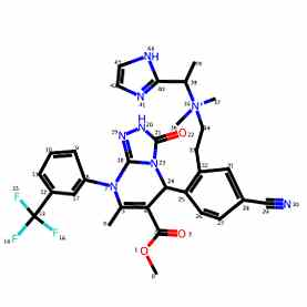 COC(=O)C1=C(C)N(c2cccc(C(F)(F)F)c2)c2n[nH]c(=O)n2C1c1ccc(C#N)cc1CC[N+](C)(C)C(C)c1ncc[nH]1